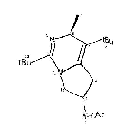 CC(=O)N[C@H]1CC2=C(C(C)(C)C)[C@H](C)N=C(C(C)(C)C)N2C1